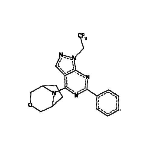 FC(F)(F)Cn1ncc2c(N3C4CCC3COC4)nc(-c3cc[c]cc3)nc21